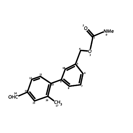 CNC(=O)OCc1cccc(-c2ccc(C=O)cc2C)c1